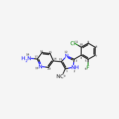 N#Cc1[nH]c(-c2c(F)cccc2Cl)nc1-c1ccc(N)nc1